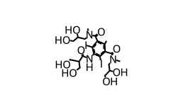 Cc1c(C(=O)N(C)CC(O)CO)c(I)c(NC(=O)C(CO)CO)c(I)c1C(=O)N(C)CC(O)CO